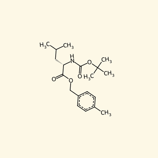 Cc1ccc(COC(=O)[C@H](CC(C)C)NC(=O)OC(C)(C)C)cc1